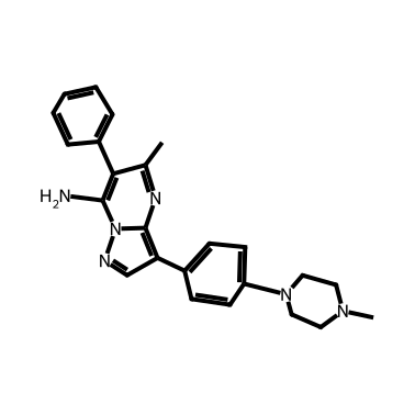 Cc1nc2c(-c3ccc(N4CCN(C)CC4)cc3)cnn2c(N)c1-c1ccccc1